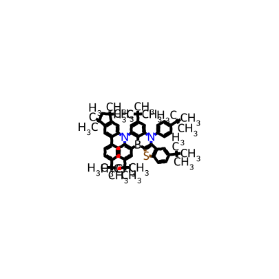 CC(C)(C)c1ccc(-c2cc3c(cc2N2c4ccc(C(C)(C)C)cc4B4c5sc6ccc(C(C)(C)C)cc6c5N(c5ccc(C(C)(C)C)cc5)c5cc(C(C)(C)C)cc2c54)C(C)(C)CC3(C)C)cc1